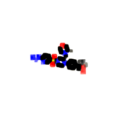 C[C@H]1COCCN1C[C@H]1CN(S(=O)(=O)c2ccc(N)nc2)CCN1c1ccc([C@](C)(O)C(F)(F)F)cc1